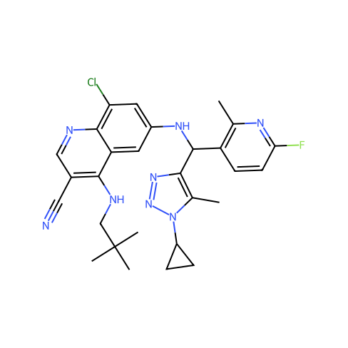 Cc1nc(F)ccc1C(Nc1cc(Cl)c2ncc(C#N)c(NCC(C)(C)C)c2c1)c1nnn(C2CC2)c1C